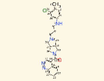 Cc1ccc(NCCCN2CC3CN(C(=O)c4cnnc5ccccc45)CC3C2)cc1Cl